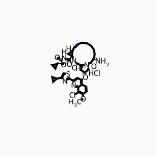 COc1ccc2c(O[C@@H]3C[C@H]4C(=O)N[C@]5(C(=O)NS(=O)(=O)C6CC6)C[C@H]5/C=C\CCCCC[C@H](N)C(=O)N4C3)cc(-c3nc(C4CC4)cs3)nc2c1Cl.Cl